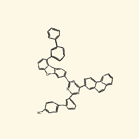 N#Cc1ccc(-c2cccc(-c3nc(-c4ccc5c(ccc6ccccc65)c4)nc(-c4ccc5c(c4)oc4cccc(-c6cccc(-c7ccccc7)c6)c45)n3)c2)cc1